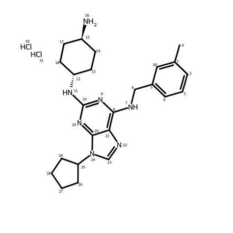 Cc1cccc(CNc2nc(N[C@H]3CC[C@H](N)CC3)nc3c2ncn3C2CCCC2)c1.Cl.Cl